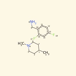 CC1CCN(C)CC1.NCc1ccc(F)cc1F